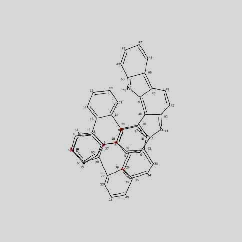 c1ccc(-c2ccc3c(c2-c2ccccc2-c2nnnc(-c4ccccc4)c2-c2cccc4ccccc24)-c2c4c(ccc2=N3)=c2ccccc2=N4)cc1